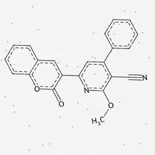 COc1nc(-c2cc3ccccc3oc2=O)cc(-c2ccccc2)c1C#N